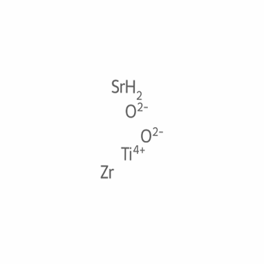 [O-2].[O-2].[SrH2].[Ti+4].[Zr]